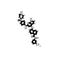 O=C(Nc1cccc(C(F)(F)F)c1)c1cccc2c(Oc3cc(Nc4ccc([S+]([O-])N5CCNCC5)cc4)nc4[nH]ccc34)cccc12